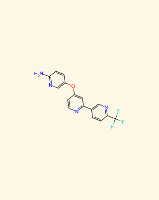 Nc1ccc(Oc2ccnc(-c3ccc(C(F)(F)F)nc3)c2)cn1